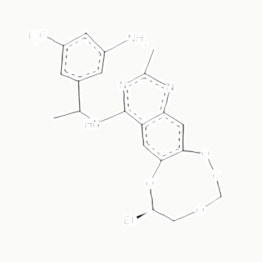 CC[C@@H]1COCCOc2cc3nc(C)nc(NC(C)c4cc(N)cc(C(F)(F)F)c4)c3cc2O1